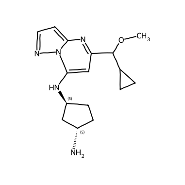 COC(c1cc(N[C@H]2CC[C@H](N)C2)n2nccc2n1)C1CC1